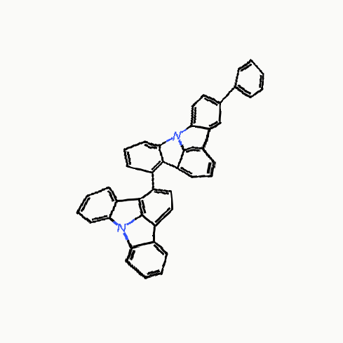 c1ccc(-c2ccc3c(c2)c2cccc4c5c(-c6ccc7c8ccccc8n8c9ccccc9c6c78)cccc5n3c24)cc1